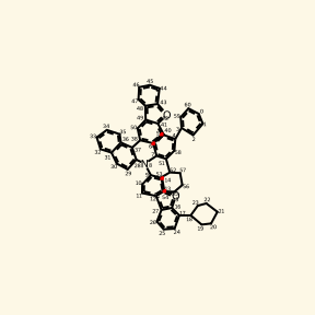 c1ccc(-c2ccc(N(c3ccc4c(c3)oc3c(C5CCCCC5)cccc34)c3ccc4ccccc4c3-c3ccc4oc5ccccc5c4c3)c(C3CCCCC3)c2)cc1